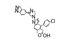 Cc1cc2nc(N3CCN(C)[C@H](c4ccc5c(cnn5C)c4)C3)sc2c(-c2ccc(Cl)cc2)c1CC(=O)O